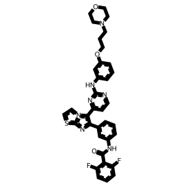 O=C(Nc1cccc(-c2nc3sccn3c2-c2ccnc(Nc3cccc(OCCCN4CCOCC4)c3)n2)c1)c1c(F)cccc1F